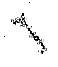 C=CCn1c(=O)n(CC(O)COC(=O)CCCC(=O)Nc2ccc(NC(=O)CCCC(=O)OC(C)(C)CC)cc2)c(=O)n(CC(O)C(C)(C)CC)c1=O